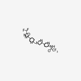 O=C(Nc1ccc(-c2cn(Cc3ccc(-c4nnc(C(F)F)o4)cn3)cn2)cn1)C(F)(F)F